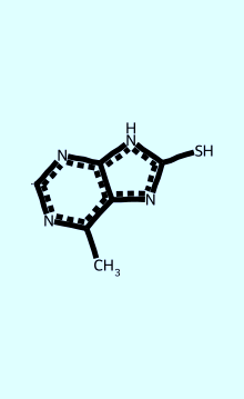 Cc1n[c]nc2[nH]c(S)nc12